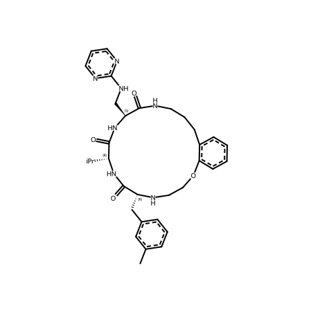 Cc1cccc(C[C@H]2NCCOc3ccccc3CCCNC(=O)[C@H](CNc3ncccn3)NC(=O)[C@@H](C(C)C)NC2=O)c1